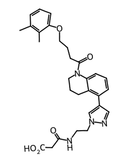 Cc1cccc(OCCCC(=O)N2CCCc3c(-c4cnn(CCNC(=O)CC(=O)O)c4)cccc32)c1C